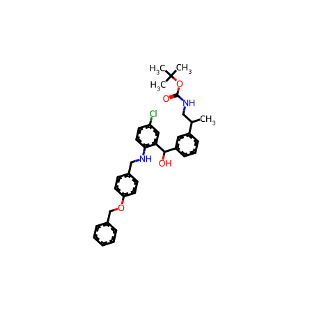 CC(CNC(=O)OC(C)(C)C)c1cccc(C(O)c2cc(Cl)ccc2NCc2ccc(OCc3ccccc3)cc2)c1